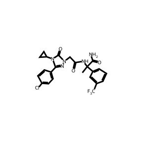 CC(NC(=O)Cn1nc(-c2ccc(Cl)cc2)n(C2CC2)c1=O)(C(N)=O)c1cccc(C(F)(F)F)c1